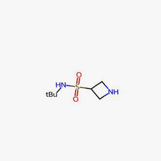 CC(C)(C)NS(=O)(=O)C1CNC1